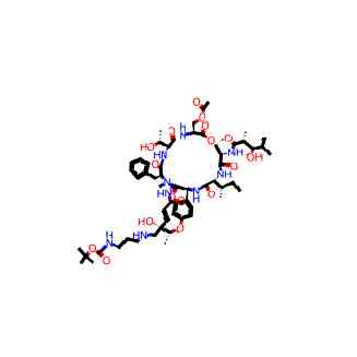 CC[C@H](C)[C@H]1NC(=O)[C@@H](NC(=O)[C@H](C)[C@H](O)C(C)C)[C@@H](C)OC(=O)[C@H](COC(C)=O)NC(=O)[C@@H]([C@@H](C)O)NC(=O)[C@H](Cc2ccccc2)N(C)C(=O)[C@H](c2ccc(O[C@H](C)[C@](O)(/C=C/C(=O)NC)CNCCCNC(=O)OC(C)(C)C)cc2)NC1=O